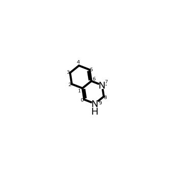 C1=C2CCCC=C2[N]CN1